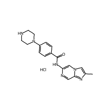 Cc1cn2cc(NC(=O)c3ccc(N4CCNCC4)cc3)ncc2n1.Cl